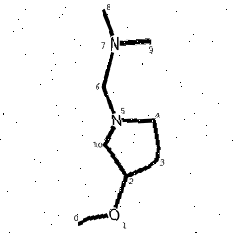 COC1CCN(CN(C)C)C1